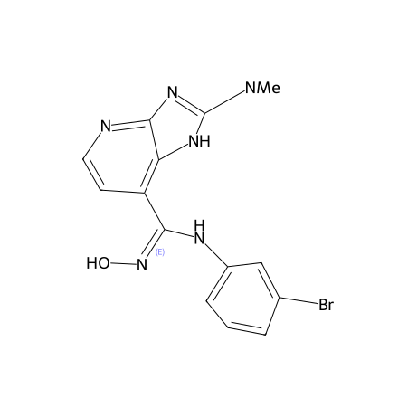 CNc1nc2nccc(/C(=N\O)Nc3cccc(Br)c3)c2[nH]1